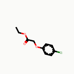 C[CH]OC(=O)COc1ccc(Cl)cc1